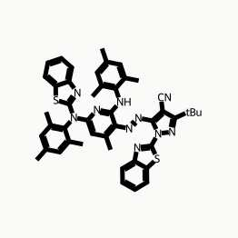 Cc1cc(C)c(Nc2nc(N(c3nc4ccccc4s3)c3c(C)cc(C)cc3C)cc(C)c2/N=N/c2c(C#N)c(C(C)(C)C)nn2-c2nc3ccccc3s2)c(C)c1